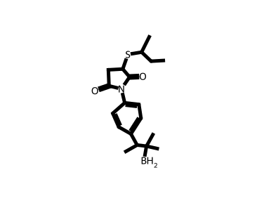 BC(C)(C)C(C)c1ccc(N2C(=O)CC(SC(C)CC)C2=O)cc1